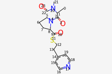 CC(C(=O)N1CCCC1C(=O)SCCc1ccncc1)N(C)C=O